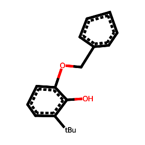 CC(C)(C)c1cccc(OCc2ccccc2)c1O